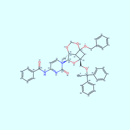 CC(C)(C)[Si](OC[C@]12CC3(OCc4ccccc4)OCO[C@@H](C31)[C@H](n1ccc(NC(=O)c3ccccc3)nc1=O)O2)(c1ccccc1)c1ccccc1